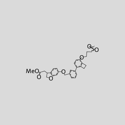 COC(=O)CC1COc2cc(OCc3cccc(-c4ccc(OCCCS(C)(=O)=O)c5c4CC5)c3)ccc21